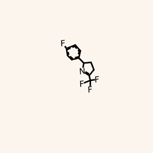 Fc1ccc(C2CCC(C(F)(F)F)=N2)cc1